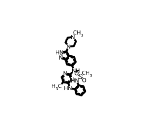 Cc1cnc(Nc2ccc3c(N4CCN(C)CC4)[nH]nc3c2)nc1Nc1ccccc1NS(C)(=O)=O